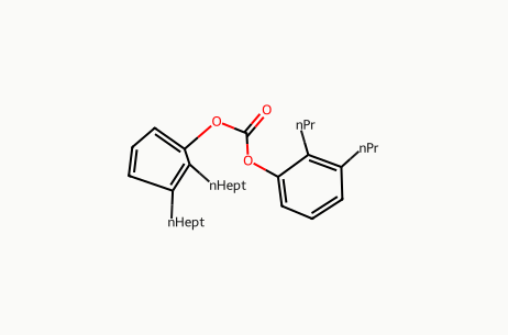 CCCCCCCc1cccc(OC(=O)Oc2cccc(CCC)c2CCC)c1CCCCCCC